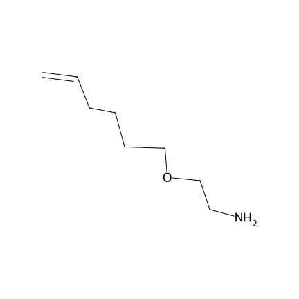 C=CCCCCOCCN